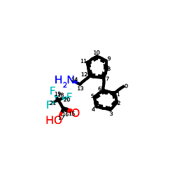 Cc1ccccc1-c1ccccc1CN.O=C(O)C(F)(F)F